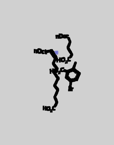 CCCCCCCC/C=C\CCCCCCCCC(=O)O.CCCCCCCCCCCCCC(=O)O.Cc1ccc(Br)cc1C(=O)O